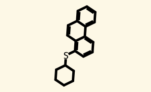 c1ccc2c(c1)ccc1c(SC3CCCCC3)cccc12